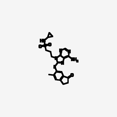 Cc1cc2c(cc1Sc1nc3c(N)ncnc3n1CCCS(=O)(=O)NC1CC1)C(=O)CC2